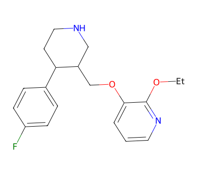 CCOc1ncccc1OCC1CNCCC1c1ccc(F)cc1